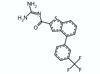 NC(N)=NC(=O)c1cc2c(-c3cccc(C(F)(F)F)c3)cccc2s1